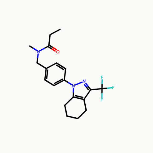 CCC(=O)N(C)Cc1ccc(-n2nc(C(F)(F)F)c3c2CCCC3)cc1